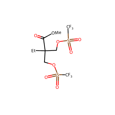 CCC(COS(=O)(=O)C(F)(F)F)(COS(=O)(=O)C(F)(F)F)C(=O)OC